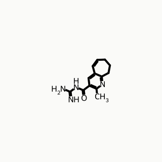 Cc1nc2c(cc1C(=O)NC(=N)N)C=CCCC2